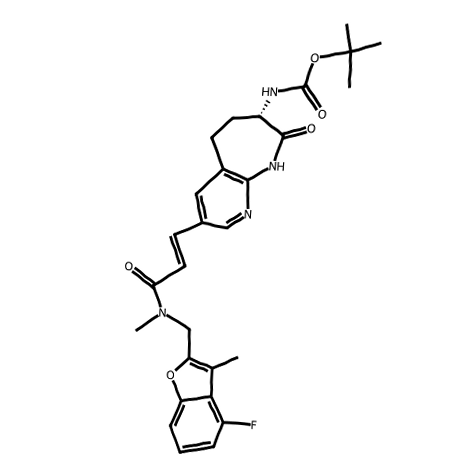 Cc1c(CN(C)C(=O)/C=C/c2cnc3c(c2)CC[C@H](NC(=O)OC(C)(C)C)C(=O)N3)oc2cccc(F)c12